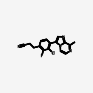 Cc1nccn2c(-c3ccc(CCC#N)c(F)c3Cl)cnc12